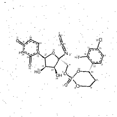 [N-]=[N+]=N[C@]1(COP2(=O)OCC[C@@H](c3ccc(Cl)cc3F)O2)OC(n2ccc(=O)[nH]c2=O)[C@H](O)[C@@H]1O